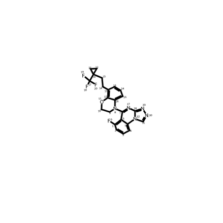 Fc1cccc2c1c(N1CCOc3c(CCC4(C(F)(F)F)CC4)cccc31)nc1nncn12